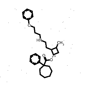 CC1C[C@H](OC(=O)C2(c3ccccc3)CCCCCC2)C1CCNCCCOc1ccccc1